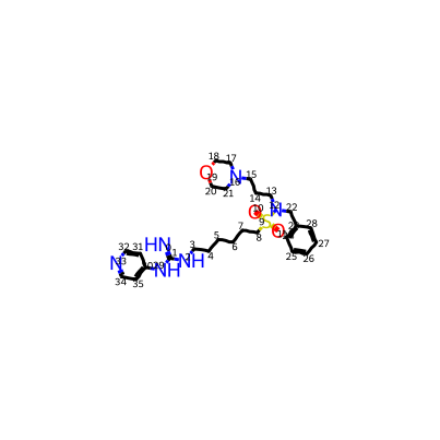 N=C(NCCCCCCS(=O)(=O)N(CCCN1CCOCC1)Cc1ccccc1)Nc1ccncc1